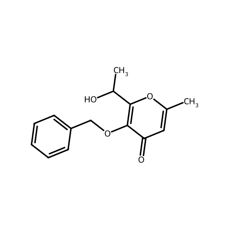 Cc1cc(=O)c(OCc2ccccc2)c(C(C)O)o1